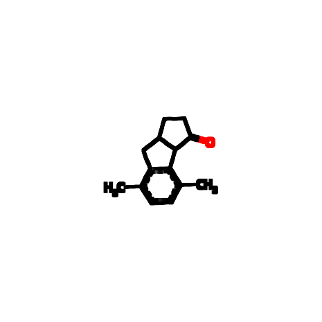 Cc1ccc(C)c2c1CC1CCC(=O)C21